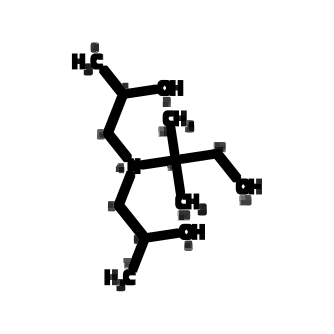 CC(O)CN(CC(C)O)C(C)(C)CO